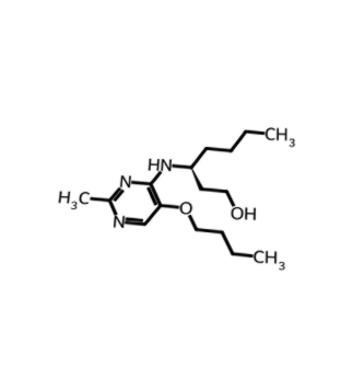 CCCCOc1cnc(C)nc1N[C@H](CCO)CCCC